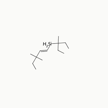 CCC(C)(C)C=C[SiH2]C(C)(CC)CC